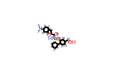 CN(C)c1ccc2cc(C(=O)N[S+]([O-])c3ccccc3-c3ccc(CO)cc3)oc2c1